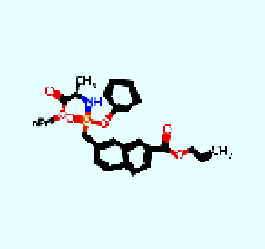 C=CCOC(=O)c1ccc2ccc(CP(=O)(N[C@@H](C)C(=O)OCCC)Oc3ccccc3)cc2c1